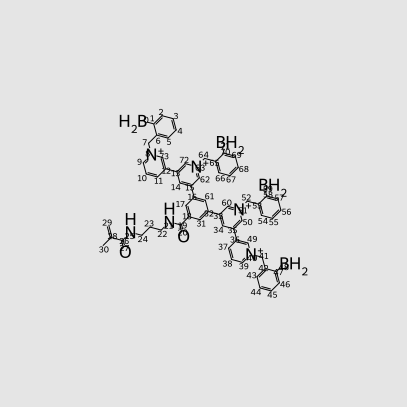 Bc1ccccc1C[n+]1cccc(-c2cc(-c3cc(C(=O)NCCCNC(=O)C(=C)C)cc(-c4cc(-c5ccc[n+](Cc6ccccc6B)c5)c[n+](Cc5ccccc5B)c4)c3)c[n+](Cc3ccccc3B)c2)c1